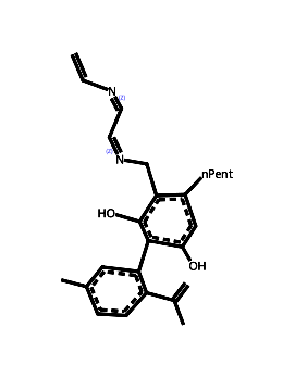 C=C/N=C\C=N/Cc1c(CCCCC)cc(O)c(-c2cc(C)ccc2C(=C)C)c1O